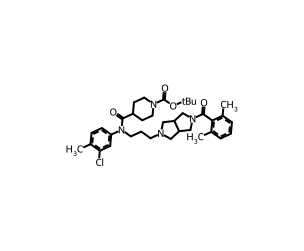 Cc1ccc(N(CCCN2CC3CN(C(=O)c4c(C)cccc4C)CC3C2)C(=O)C2CCN(C(=O)OC(C)(C)C)CC2)cc1Cl